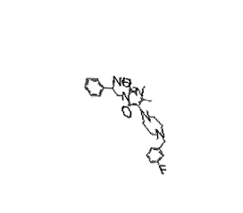 Cc1c(N2CCN(Cc3cccc(F)c3)CC2)c(=O)n(CC(N)c2ccccc2)c(=O)n1C